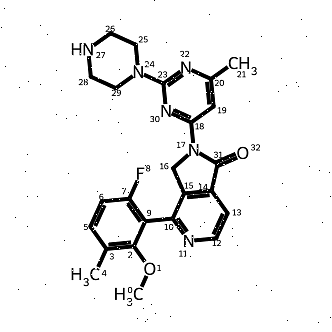 COc1c(C)ccc(F)c1-c1nccc2c1CN(c1cc(C)nc(N3CCNCC3)n1)C2=O